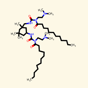 CCCCCCCCCCCC(=O)N(CCN(C)C)C(=O)NCC1(C)CC(NC(=O)N(CCN(C)C)C(=O)CCCCCCCCCCC)CC(C)(C)C1